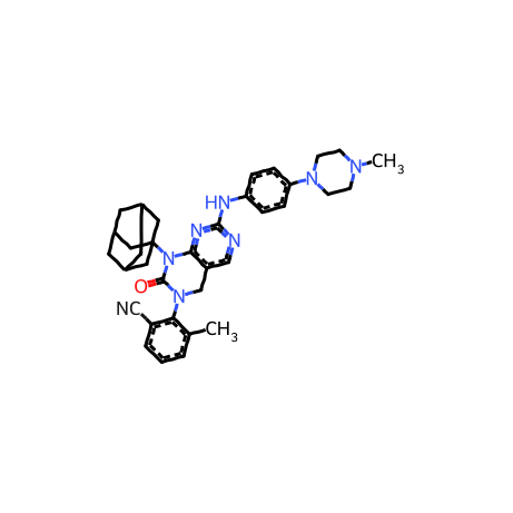 Cc1cccc(C#N)c1N1Cc2cnc(Nc3ccc(N4CCN(C)CC4)cc3)nc2N(C23CC4CC(CC(C4)C2)C3)C1=O